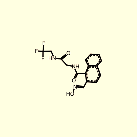 O=C(CNC(=O)c1c(C=NO)ccc2ccccc12)NCC(F)(F)F